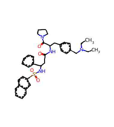 CCN(CC)Cc1ccc(CC(NC(=O)CC(NS(=O)(=O)c2ccc3ccccc3c2)c2ccccc2)C(=O)N2CCCC2)cc1